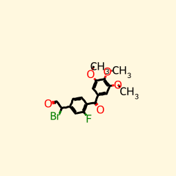 COc1cc(C(=O)c2ccc(C(Br)C=O)cc2F)cc(OC)c1OC